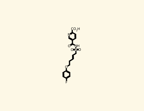 O=C(NS(=O)(=O)CC=CCCOc1ccc(F)cc1)c1ccc(C(=O)O)nc1